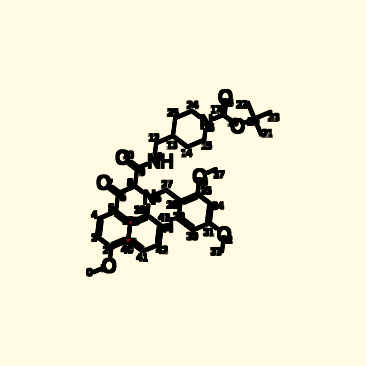 COc1ccc(C(=O)C(C(=O)NCC2CCN(C(=O)OC(C)(C)C)CC2)N(Cc2ccc(OC)cc2OC)c2ccccc2I)cc1